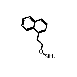 [SiH3]OCCc1cccc2ccccc12